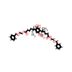 CC(C)(CCCC(=O)OCCOCc1ccccc1)c1cc(O)c(C(C)(C)CCCC(=O)OCCOCc2ccccc2)cc1O